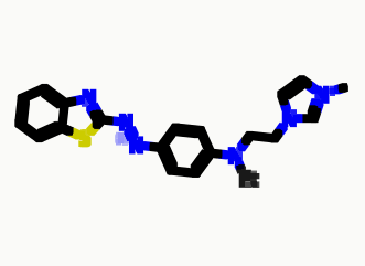 CCN(CCn1cc[n+](C)c1)c1ccc(/N=N/c2nc3ccccc3s2)cc1